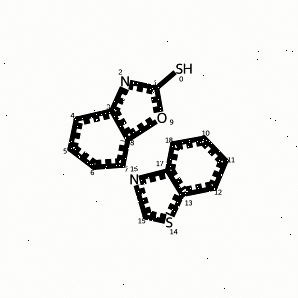 Sc1nc2ccccc2o1.c1ccc2scnc2c1